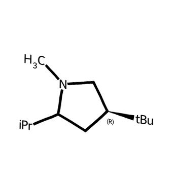 CC(C)C1C[C@H](C(C)(C)C)CN1C